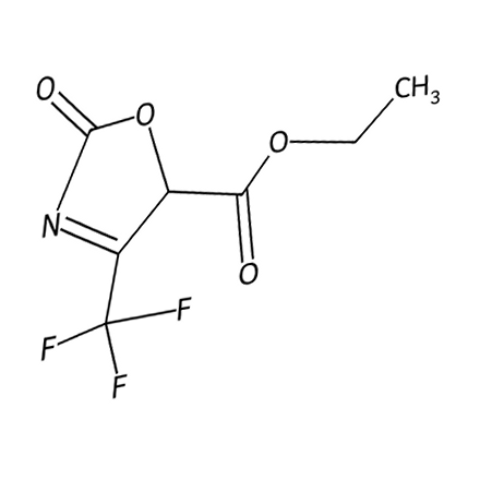 CCOC(=O)C1OC(=O)N=C1C(F)(F)F